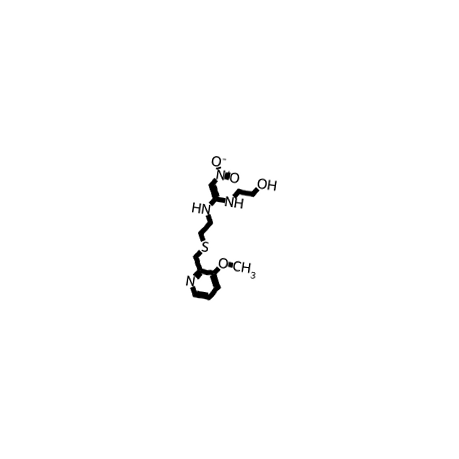 COc1cccnc1CSCCNC(=C[N+](=O)[O-])NCCO